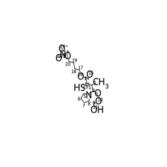 C[C@@H](C(=O)N1CCC[C@H]1C(=O)O)C(S)C(=O)OCCCCO[N+](=O)[O-]